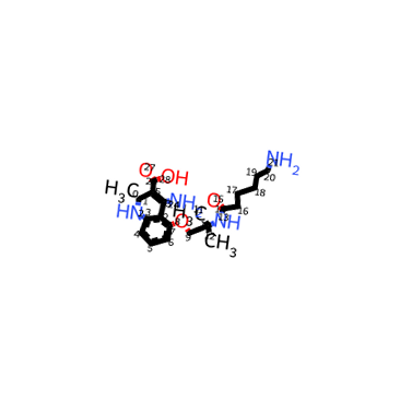 CC1Nc2cccc(OCC(C)(C)NC(=O)CCCCCN)c2C(N)=C1C(=O)O